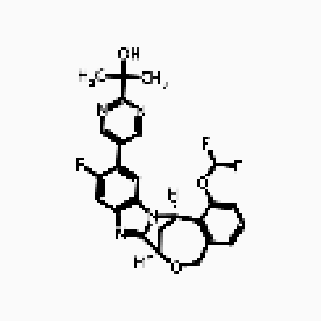 CC(C)(O)c1ncc(-c2cc3c(cc2F)nc2n3[C@@H]3C[C@H]2OCc2cccc(OC(F)F)c23)cn1